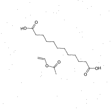 C=COC(C)=O.O=C(O)CCCCCCCCCCC(=O)O